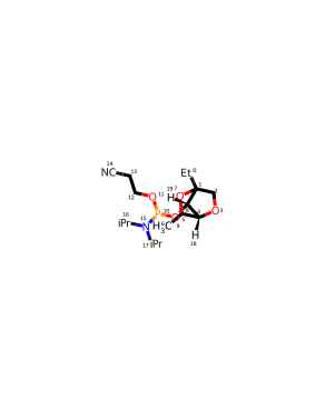 CCC12CO[C@H](C(C)O1)[C@@H]2OP(OCCC#N)N(C(C)C)C(C)C